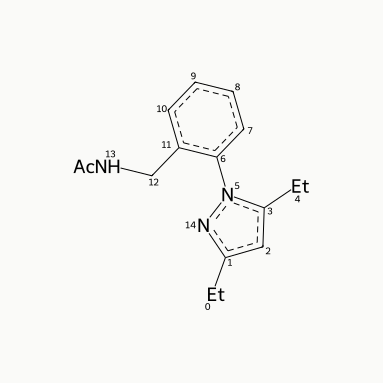 CCc1cc(CC)n(-c2ccccc2CNC(C)=O)n1